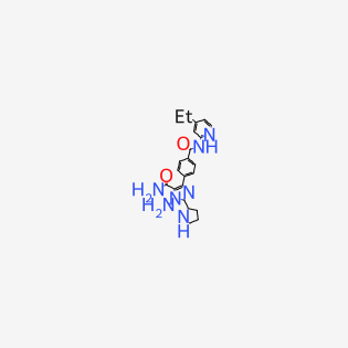 CCc1ccnc(NC(=O)c2ccc(-c3nc(C4CCCN4)n(N)c3C(N)=O)cc2)c1